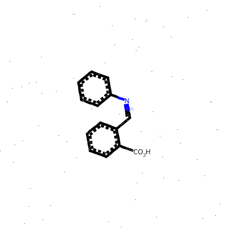 O=C(O)c1ccccc1/C=N\c1ccccc1